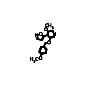 COc1ccc(COc2cncc(OC)c2-c2ccno2)cc1